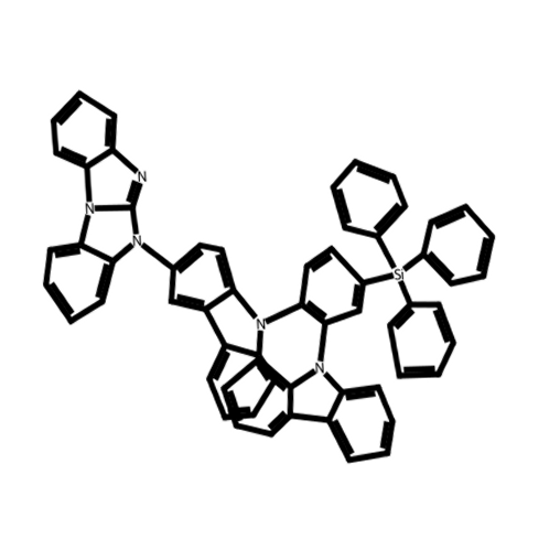 c1ccc([Si](c2ccccc2)(c2ccccc2)c2ccc(-n3c4ccccc4c4cc(-n5c6ccccc6n6c7ccccc7nc56)ccc43)c(-n3c4ccccc4c4ccccc43)c2)cc1